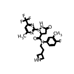 Cc1cc(C(F)(F)F)nc(N2NC(=O)CC2C(=O)N(CCC2CNC2)c2ccc(F)c(C)c2)n1